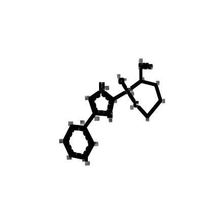 CSC1CCCC[N+]1([O-])c1nc(-c2cccnc2)c[nH]1